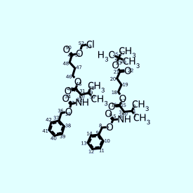 CC(C)[C@H](NC(=O)OCc1ccccc1)C(=O)OCCCC(=O)OC(C)(C)C.CC(C)[C@H](NC(=O)OCc1ccccc1)C(=O)OCCCC(=O)OCCl